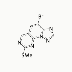 CSc1ncc2cc(Br)c3ncnn3c2n1